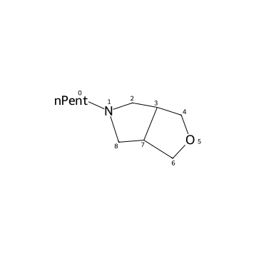 CCCCCN1CC2COCC2C1